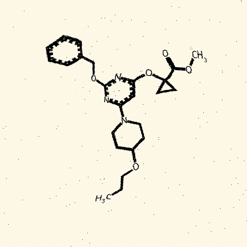 CCCOC1CCN(c2cc(OC3(C(=O)OC)CC3)nc(OCc3ccccc3)n2)CC1